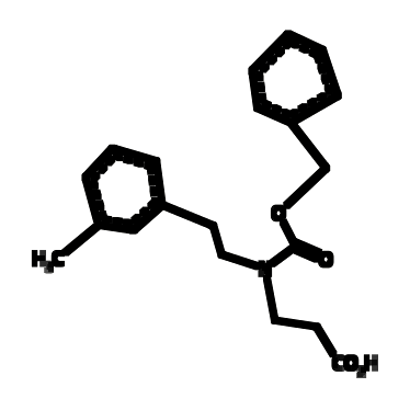 Cc1cccc(CCN(CCC(=O)O)C(=O)OCc2ccccc2)c1